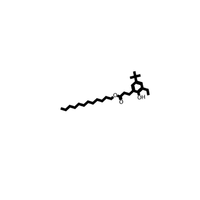 CCCCCCCCCCCCOC(=O)CCc1cc(C(C)(C)C)cc(CC)c1O